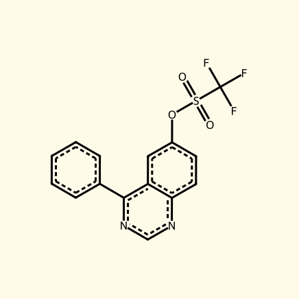 O=S(=O)(Oc1ccc2ncnc(-c3ccccc3)c2c1)C(F)(F)F